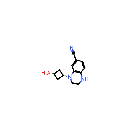 N#Cc1ccc2c(c1)N([C@H]1C[C@@H](O)C1)CCN2